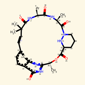 CC(C)[C@@H]1NC(=O)C(C)(C)/C=C/c2ccc3c(=O)[nH]c(nc3c2)[C@@H](C)OC(=O)[C@@H]2CCCN(N2)C(=O)[C@H](C)NC1=O